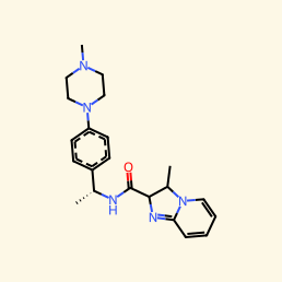 CC1C(C(=O)N[C@H](C)c2ccc(N3CCN(C)CC3)cc2)N=C2C=CC=CN21